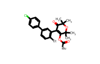 CCc1ccc(-c2ccc(Cl)cc2)cc1C1=C(OC(=O)C(C)CC)C(C)(C)OC(C)(C)C1=O